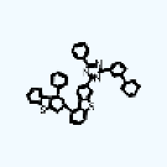 c1ccc(-c2cccc(-c3nc(-c4ccccc4)nc(-c4ccc5c(c4)sc4cccc(-c6cc(-c7ccccc7)c7c(c6)sc6ccccc67)c45)n3)c2)cc1